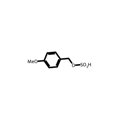 COc1ccc(COS(=O)(=O)O)cc1